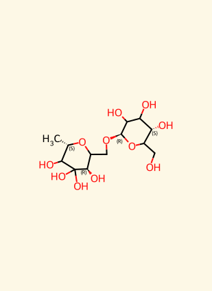 C[C@@H]1OC(CO[C@@H]2OC(CO)[C@@H](O)C(O)C2O)[C@@H](O)C(O)(O)C1O